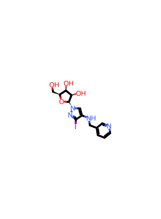 OC[C@@H]1O[C@@H](n2cc(NCc3cccnc3)c(I)n2)[C@H](O)[C@@H]1O